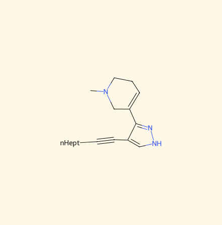 CCCCCCCC#Cc1c[nH]nc1C1=CCCN(C)C1